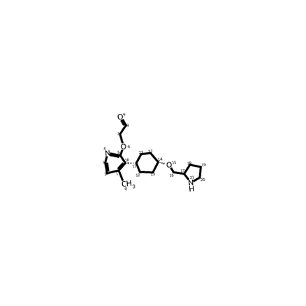 Cc1ccnc(OCC=O)c1[C@H]1CC[C@@H](OCC2CCCN2)CC1